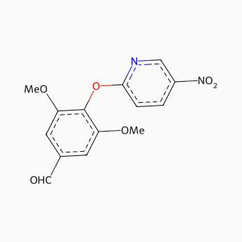 COc1cc(C=O)cc(OC)c1Oc1ccc([N+](=O)[O-])cn1